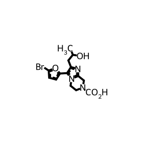 CC(O)Cc1nc2n(c1-c1ccc(Br)o1)CCN(C(=O)O)C2